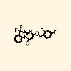 Cc1nc(OCc2ccc(F)cc2F)cc(=O)n1-c1ccccc1C(F)(F)F